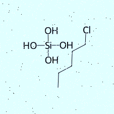 CCCCCCl.O[Si](O)(O)O